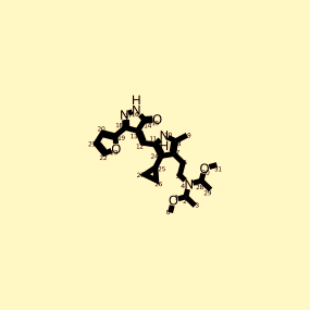 COC(C)N(CCc1c(C)[nH]c(C=C2C(=O)NN=C2c2ccco2)c1C1CC1)C(C)OC